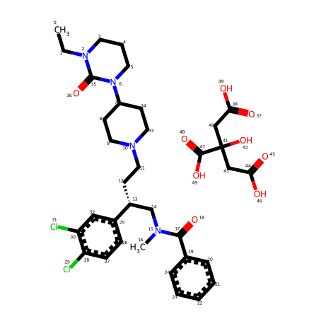 CCN1CCCN(C2CCN(CC[C@H](CN(C)C(=O)c3ccccc3)c3ccc(Cl)c(Cl)c3)CC2)C1=O.O=C(O)CC(O)(CC(=O)O)C(=O)O